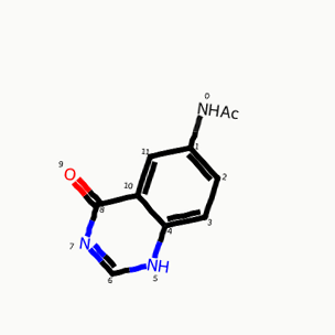 CC(=O)Nc1ccc2[nH]cnc(=O)c2c1